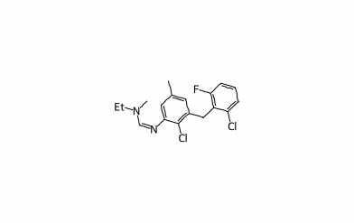 CCN(C)/C=N\c1cc(C)cc(Cc2c(F)cccc2Cl)c1Cl